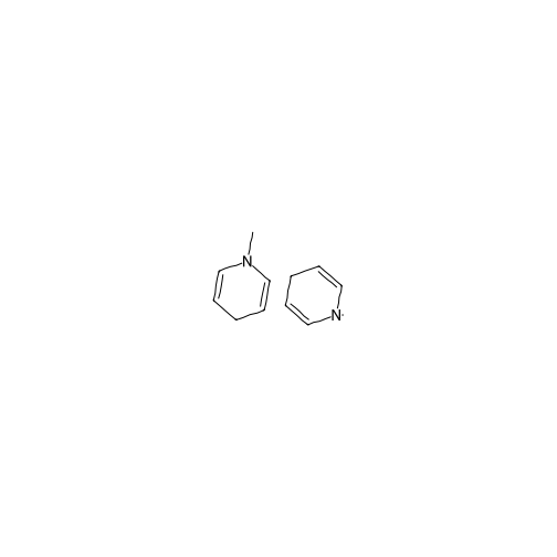 C1=C[N]C=CC1.CN1C=CCC=C1